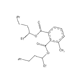 CCC(CCC(C)C)OC(=O)c1cccc(C)c1C(=O)OC(CC)CCC(C)C